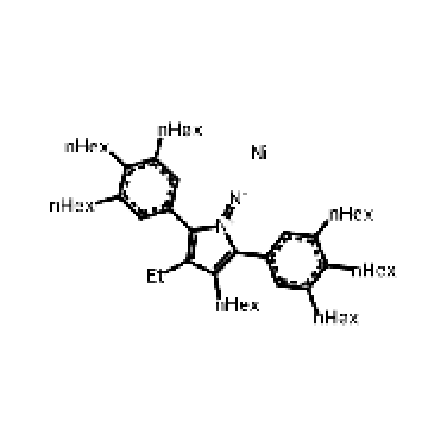 CCCCCCC1=C(c2cc(CCCCCC)c(CCCCCC)c(CCCCCC)c2)[N+](=[N-])C(c2cc(CCCCCC)c(CCCCCC)c(CCCCCC)c2)=C1CC.[Ni]